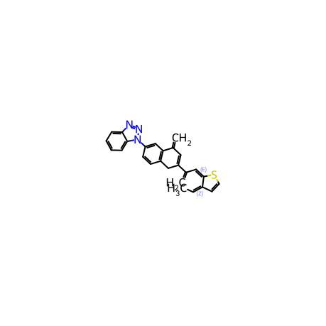 C=C(/C=c1/scc/c1=C/C)C1=CC(=C)c2cc(-n3nnc4ccccc43)ccc2C1